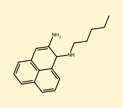 CCCCCNC1C(N)=Cc2cccc3cccc1c23